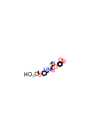 CC(OC1CCC(CNC(=O)c2scnc2Oc2ccc3c(c2)OCO3)CC1)C(=O)O